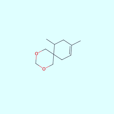 CC1=CCC2(COCOC2)C(C)C1